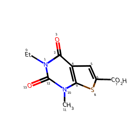 CCn1c(=O)c2cc(C(=O)O)sc2n(C)c1=O